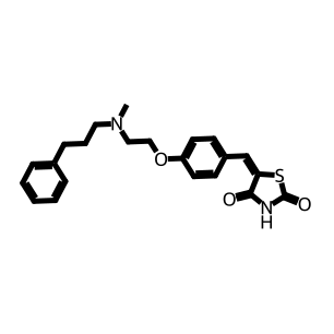 CN(CCCc1ccccc1)CCOc1ccc(C=C2SC(=O)NC2=O)cc1